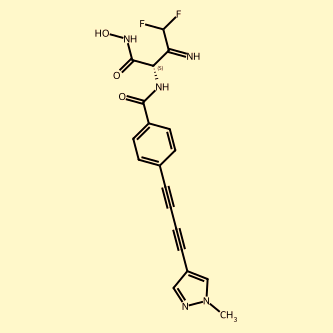 Cn1cc(C#CC#Cc2ccc(C(=O)N[C@@H](C(=N)C(F)F)C(=O)NO)cc2)cn1